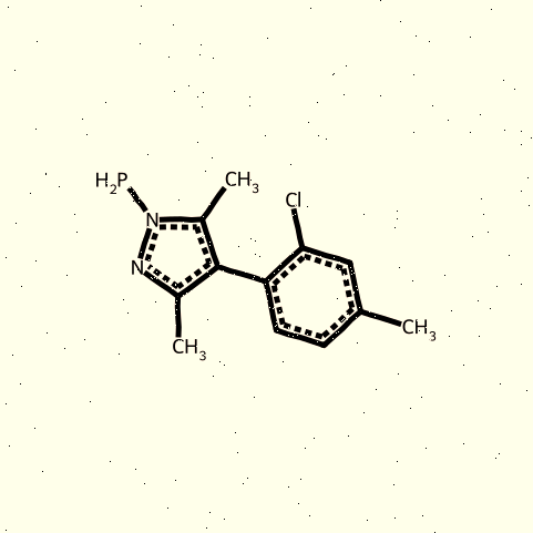 Cc1ccc(-c2c(C)nn(P)c2C)c(Cl)c1